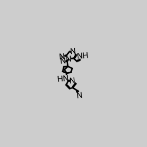 N#Cc1ccc(NC23CCC(c4nnc5cnc6[nH]ccc6n45)(CC2)C3)nc1